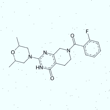 CC1CN(c2nc3c(c(=O)[nH]2)CCN(C(=O)c2ccccc2F)C3)CC(C)O1